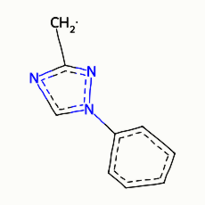 [CH2]c1ncn(-c2ccccc2)n1